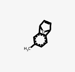 Cc1ccc2c(c1)C1C=CC2O1